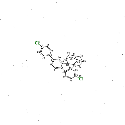 Clc1ccc(-c2ccc3c(c2)C2(c4cc(Cl)ccc4-3)C3CC4CC(C3)CC2C4)cc1